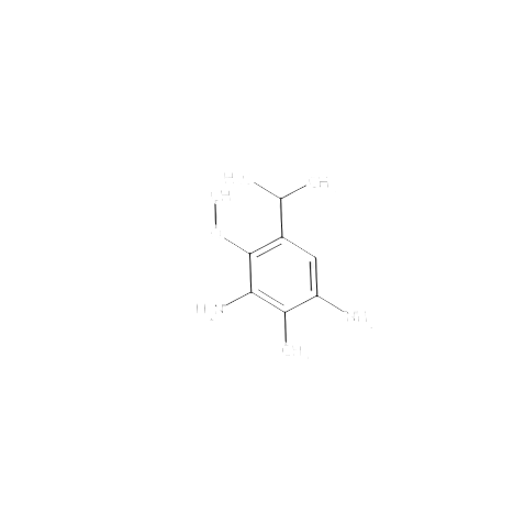 COc1c(C(C)C)cc(N)c(C)c1N